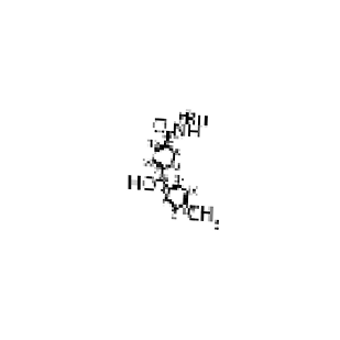 Cc1ccc(C(O)c2ccc(C(=O)NC(C)(C)C)cc2)cc1